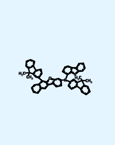 CC1(C)c2ccccc2-c2ccc(-c3c4ccccc4cc4c3oc3cc(N(c5ccc6c(c5)C(C)(C)c5ccccc5-6)c5cccc6c5sc5ccccc56)ccc34)cc21